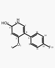 COC1=CC(O)NC=C1c1ccc(F)cc1